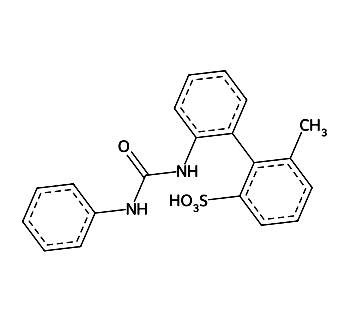 Cc1cccc(S(=O)(=O)O)c1-c1ccccc1NC(=O)Nc1ccccc1